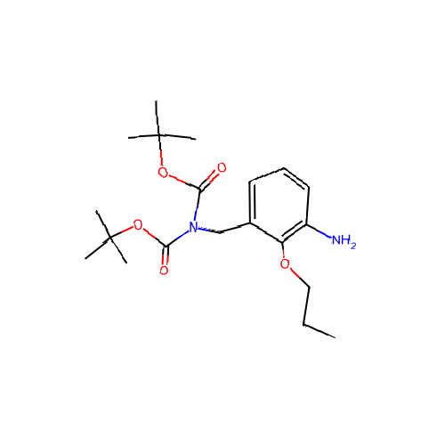 CCCOc1c(N)cccc1CN(C(=O)OC(C)(C)C)C(=O)OC(C)(C)C